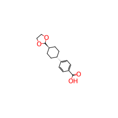 O=C(O)c1ccc([C@H]2CC[C@H](C3OCCO3)CC2)cc1